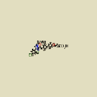 CNC(=O)Cn1cc(-c2ccc(Cl)cc2Cl)nc1C=Cc1ccc(-c2ccc(OCCCC(=O)O)cc2)cc1